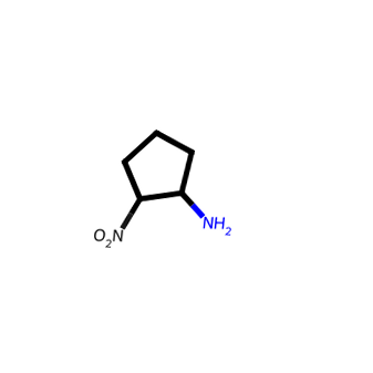 NC1CCCC1[N+](=O)[O-]